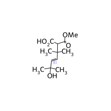 COC(=O)C(C(=O)O)C(C)(C)/C=C/C(C)(C)O